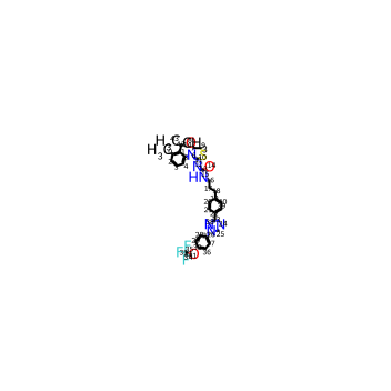 Cc1cccc(N2C(=O)CS/C2=N\C(=O)NCCCc2ccc(-c3ncn(-c4ccc(OC(F)(F)F)cc4)n3)cc2)c1C(C)C